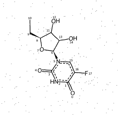 O=c1[nH]c(=O)n([C@H]2O[C@@H](CI)C(O)C2O)cc1F